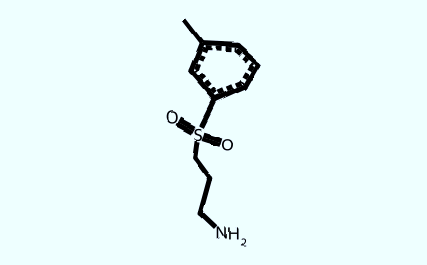 Cc1cccc(S(=O)(=O)CCCN)c1